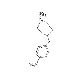 CC(C)(C)N1CCC(Cc2ccc(N)cc2)CC1